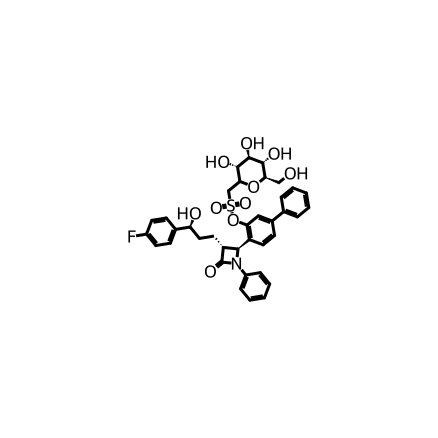 O=C1[C@H](CC[C@H](O)c2ccc(F)cc2)[C@@H](c2ccc(-c3ccccc3)cc2OS(=O)(=O)CC2O[C@H](CO)[C@@H](O)[C@H](O)[C@H]2O)N1c1ccccc1